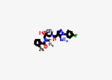 CC(=O)c1ccccc1C(=O)N(C)CC(O)(CNC(=O)c1cnn(-c2ccc(F)cc2)c1N)C(F)(F)F